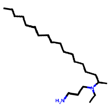 CCCCCCCCCCCCCCCCC(C)N(CC)CCCN